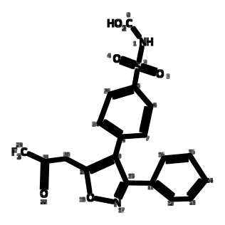 O=C(O)NS(=O)(=O)c1ccc(-c2c(-c3ccccc3)noc2CC(=O)C(F)(F)F)cc1